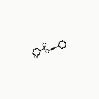 O=C(OC#Cc1ccccc1)c1cccnc1